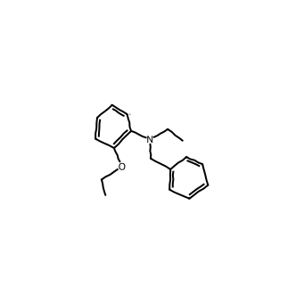 CCOc1ccc[c]c1N(CC)Cc1ccccc1